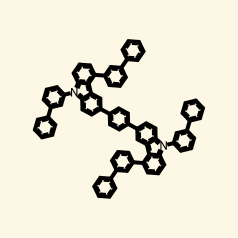 c1ccc(-c2cccc(-c3cccc4c3c3cc(-c5ccc(-c6ccc7c(c6)c6c(-c8cccc(-c9ccccc9)c8)cccc6n7-c6cccc(-c7ccccc7)c6)cc5)ccc3n4-c3cccc(-c4ccccc4)c3)c2)cc1